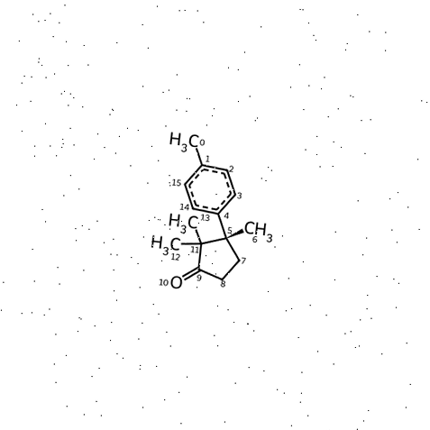 Cc1ccc([C@]2(C)CCC(=O)C2(C)C)cc1